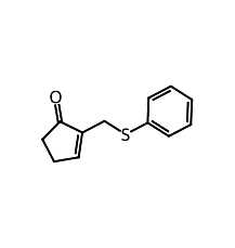 O=C1CCC=C1CSc1ccccc1